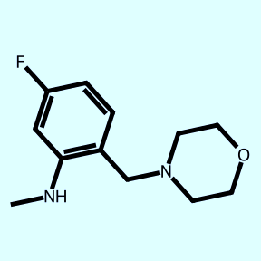 CNc1cc(F)ccc1CN1CCOCC1